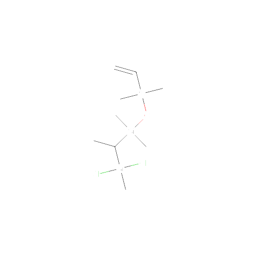 C=C[Si](C)(C)O[Si](C)(C)C(C)[Si](C)(Cl)Cl